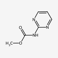 COC(=O)Nc1ncccn1